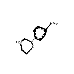 CNc1ccc([C@H]2CNCCO2)cc1